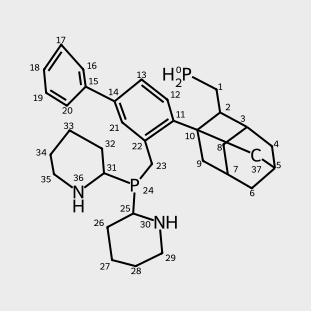 PCC1C2CC3CC(C2)CC1(c1ccc(-c2ccccc2)cc1CP(C1CCCCN1)C1CCCCN1)C3